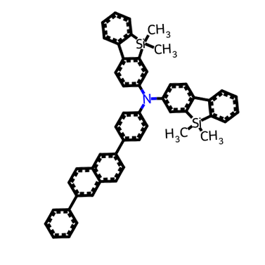 C[Si]1(C)c2ccccc2-c2ccc(N(c3ccc(-c4ccc5cc(-c6ccccc6)ccc5c4)cc3)c3ccc4c(c3)[Si](C)(C)c3ccccc3-4)cc21